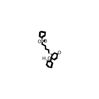 C[C@@]1(c2ccccc2)C=CC(=O)C[C@H]1CCCCCS(=O)(=O)c1ccccc1